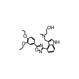 CCOc1ccc(-c2nc(-c3cccc4[nH]cc(CN(C)CCO)c34)no2)cc1OCC